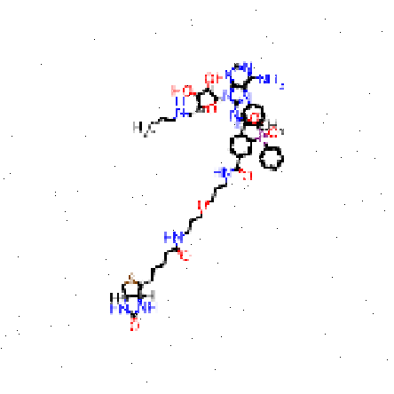 CCCNC[C@H]1O[C@@H](n2c(/N=C(\OC)c3ccc(C(=O)NCCCOCCCNC(=O)CCCC[C@@H]4SC[C@@H]5NC(=O)N[C@@H]54)cc3P(=O)(c3ccccc3)c3ccccc3)nc3c(N)ncnc32)[C@@H](O)C1O